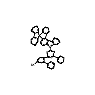 N#Cc1ccc(-c2nc(-c3ccccc3)nc(-n3c4ccccc4c4c5c(ccc43)C3(c4ccccc4-c4ccccc43)c3ccccc3-5)n2)c(-c2ccccc2)c1